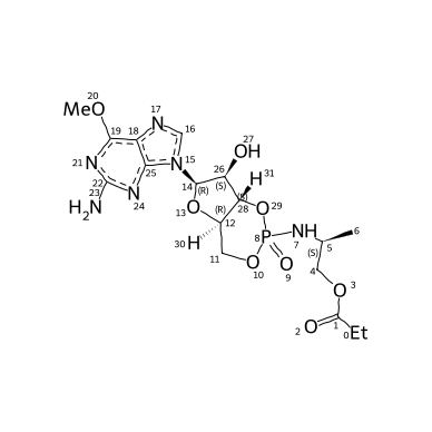 CCC(=O)OC[C@H](C)NP1(=O)OC[C@H]2O[C@@H](n3cnc4c(OC)nc(N)nc43)[C@@H](O)[C@@H]2O1